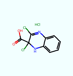 Cl.O=C(O)C1(Cl)Nc2ccccc2N=C1Cl